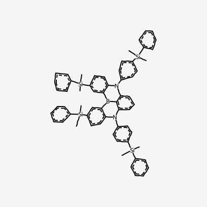 C[Si](C)(c1ccccc1)c1ccc(N2c3ccc([Si](C)(C)c4ccccc4)cc3B3c4cc([Si](C)(C)c5ccccc5)ccc4N(c4ccc([Si](C)(C)c5ccccc5)cc4)c4cccc2c43)cc1